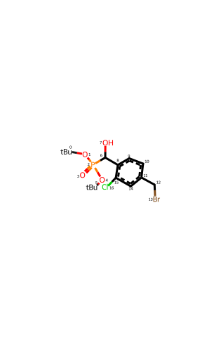 CC(C)(C)OP(=O)(OC(C)(C)C)C(O)c1ccc(CBr)cc1Cl